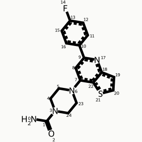 NC(=O)N1CCN(c2cc(-c3ccc(F)cc3)nc3ccsc23)CC1